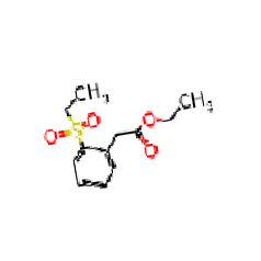 CCOC(=O)Cc1ccccc1S(=O)(=O)CC